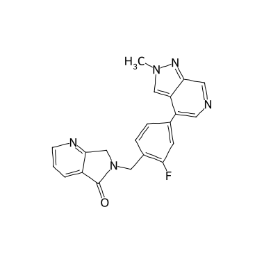 Cn1cc2c(-c3ccc(CN4Cc5ncccc5C4=O)c(F)c3)cncc2n1